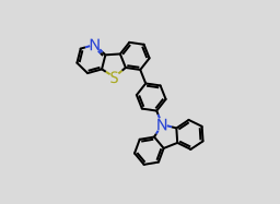 c1cnc2c(c1)sc1c(-c3ccc(-n4c5ccccc5c5ccccc54)cc3)cccc12